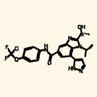 CC(C)n1c([C@@H](C)O)nc2cc(C(=O)Nc3ccc(OC(F)(F)Cl)cc3)cc(-c3ccn[nH]3)c21